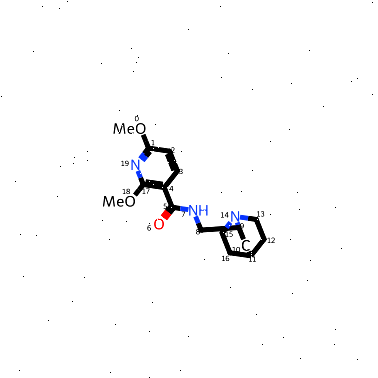 COc1ccc(C(=O)NCC2CC3CCN2CC3)c(OC)n1